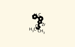 Cc1cc(C2=Cc3c(ccc(C)c3-c3ccccc3)[CH]2[Zr])oc1C